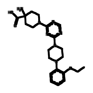 CCOc1ccccc1N1CCN(c2ncnc(N3CCC(N)(C(=O)O)CC3)n2)CC1